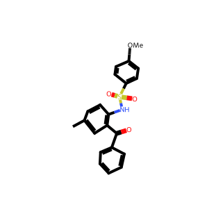 COc1ccc(S(=O)(=O)Nc2ccc(C)cc2C(=O)c2ccccc2)cc1